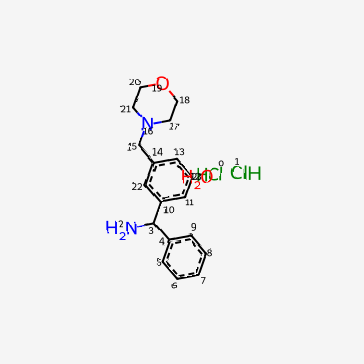 Cl.Cl.NC(c1ccccc1)c1cccc(CN2CCOCC2)c1.O